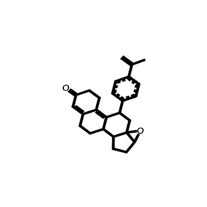 C=C(C)c1ccc(C2CC34OC3CCC4C3CCC4=CC(=O)CCC4=C23)cc1